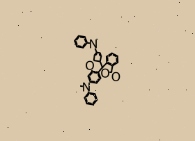 CN(C1=CC2Oc3cc(N(C)c4ccccc4)ccc3C3(OC(=O)c4ccccc43)C2C=C1)c1ccccc1